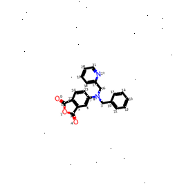 O=C1OC(=O)c2cc(N(Cc3ccccc3)Cc3ccccn3)ccc21